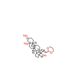 C[C@]12CC[C@H]3[C@@H](CC[C@]4(O)C[C@@H](O)CC[C@]34C)[C@@H]1[C@@H]1CC[C@@H]1[C@@]2(O)CCC1OCCCO1